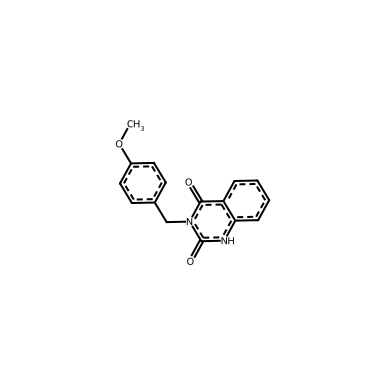 COc1ccc(Cn2c(=O)[nH]c3ccccc3c2=O)cc1